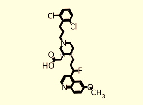 COc1ccc2nccc(C(F)CC[C@@H]3CCN(CCCc4c(Cl)cccc4Cl)C[C@@H]3CC(=O)O)c2c1